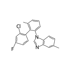 Cc1ccc2c(c1)ncn2-c1cccc(C)c1-c1ccc(F)cc1Cl